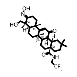 CC1(C)CC[C@]2(C(=O)NCC(F)(F)F)CC[C@]3(C)[C@H](C(=O)C=C4[C@@]5(C)CCC(=NO)[C@@](C)(CO)[C@@H]5CC[C@]43C)[C@@H]2C1